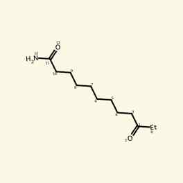 CCC(=O)CCCCCCCCC(N)=O